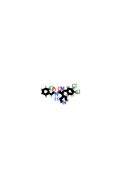 O=C(Cc1ccccc1Cl)Nc1onc(-c2ccc(Cl)c(Cl)c2)c1-c1ccncc1